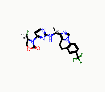 C[C@H](Nc1nccc(N2C(=O)OCC2[C@H](C)F)n1)c1ncn2c1CCc1cc(C(F)(F)F)ccc1-2